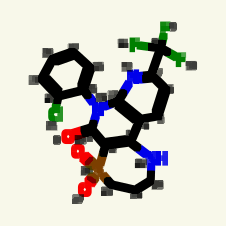 O=c1c2c(c3ccc(C(F)(F)F)nc3n1-c1ccccc1Cl)NCCCS2(=O)=O